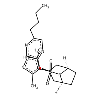 CCCCc1cnc(O[C@H]2C[C@H]3CC[C@@H](C2)N3S(=O)(=O)c2c(C)n[nH]c2C)cn1